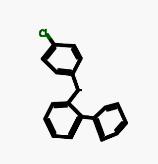 Clc1ccc([CH]c2ccccc2-c2ccccc2)cc1